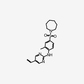 C=Cc1cnc(Nc2ccc(S(=O)(=O)N3CCCCCC3)cc2C)nc1